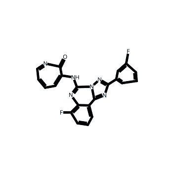 O=c1nccccc1Nc1nc2c(F)cccc2c2nc(-c3cccc(F)c3)nn12